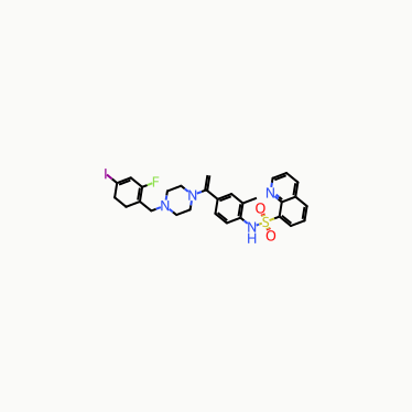 C=C(c1ccc(NS(=O)(=O)c2cccc3cccnc23)c(C)c1)N1CCN(CC2=C(F)C=C(I)CC2)CC1